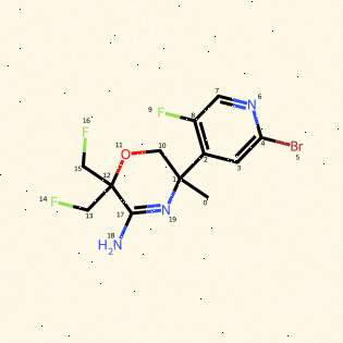 CC1(c2cc(Br)ncc2F)COC(CF)(CF)C(N)=N1